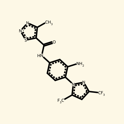 Cc1nnsc1C(=O)Nc1ccc(-n2nc(C(F)(F)F)cc2C(F)(F)F)c(N)c1